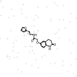 O=C(COc1ccc2c(c1)CCC(=O)N2)N/N=C/c1ccco1